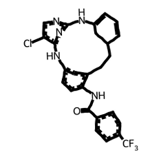 O=C(Nc1ccc2cc1CCC1C=CC=C(C1)Nc1ncc(Cl)c(n1)N2)c1ccc(C(F)(F)F)cc1